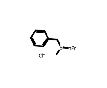 CCC[S+](C)Cc1ccccc1.[Cl-]